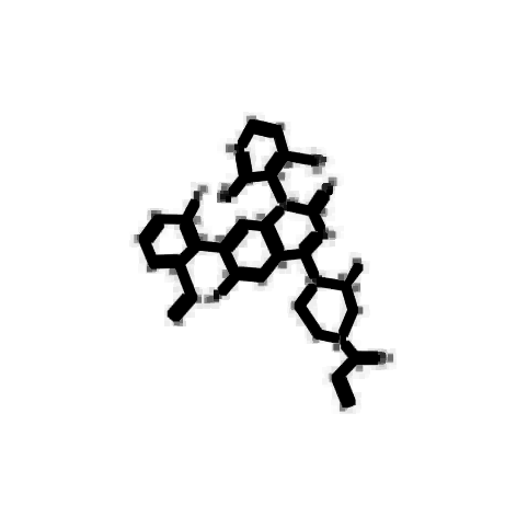 C=CC(=O)N1CCN(c2nc(=O)n(-c3c(C(C)C)ccnc3C(C)C)c3cc(-c4c(F)cccc4C=C)c(F)cc23)[C@@H](C)C1